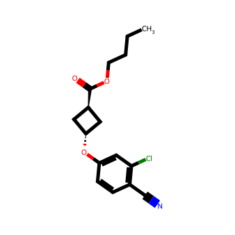 CCCCOC(=O)[C@H]1C[C@H](Oc2ccc(C#N)c(Cl)c2)C1